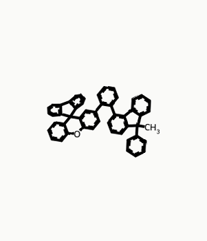 CC1(c2ccccc2)c2ccccc2-c2c(-c3ccccc3-c3ccc4c(c3)C3(c5ccccc5O4)c4ccccc4-c4ccccc43)cccc21